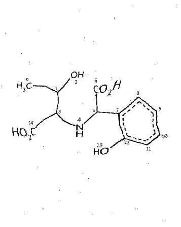 CC(O)C(NC(C(=O)O)c1ccccc1O)C(=O)O